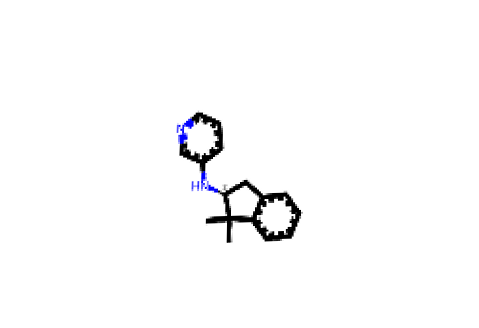 CC1(C)c2ccccc2C[C@@H]1Nc1cccnc1